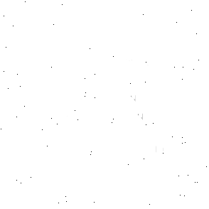 CCc1cc(C(=O)O)n(CCOC2CCCCO2)n1